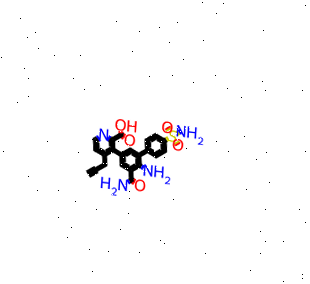 C#CCc1ccnc(C(=O)O)c1-c1cc(C(N)=O)c(N)c(-c2ccc(S(N)(=O)=O)cc2)c1